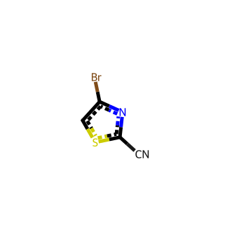 N#Cc1nc(Br)cs1